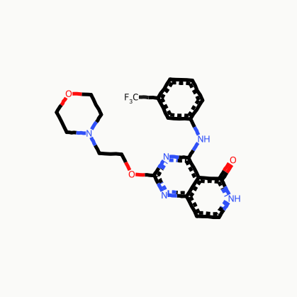 O=c1[nH]ccc2nc(OCCN3CCOCC3)nc(Nc3cccc(C(F)(F)F)c3)c12